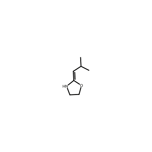 CC(C)C=C1NCCO1